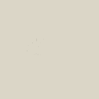 CC12CC3(C)OC(C)(CC(C)(O1)C3(CP)c1ccc(-c3ccccc3)cc1)O2